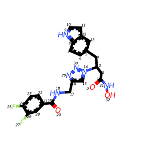 O=C(CC(Cc1ccc2[nH]ccc2c1)n1cc(CNC(=O)c2ccc(F)c(F)c2)nn1)NO